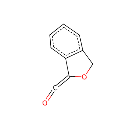 O=C=C1OCc2ccccc21